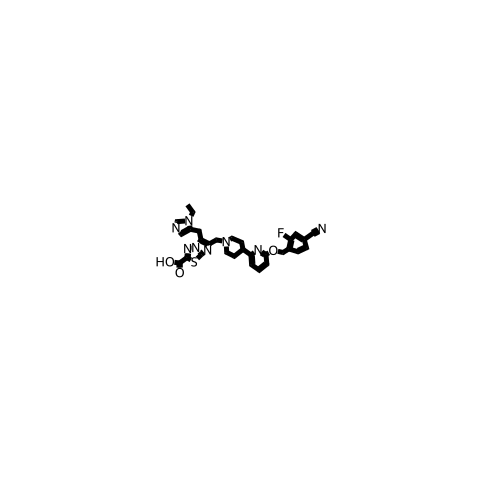 CCn1cncc1Cc1c(CN2CCC(c3cccc(OCc4ccc(C#N)cc4F)n3)CC2)nc2sc(C(=O)O)nn12